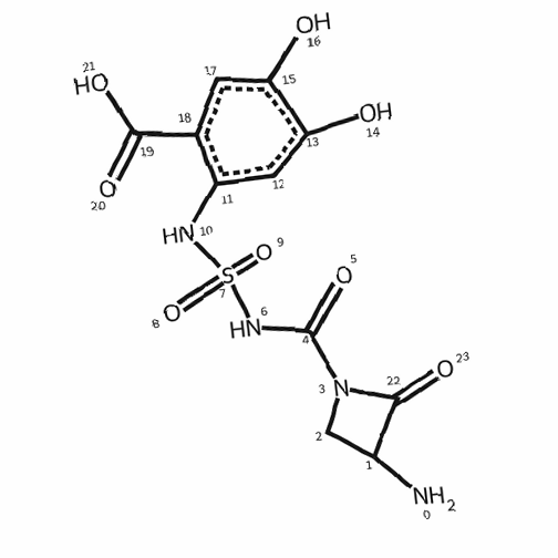 NC1CN(C(=O)NS(=O)(=O)Nc2cc(O)c(O)cc2C(=O)O)C1=O